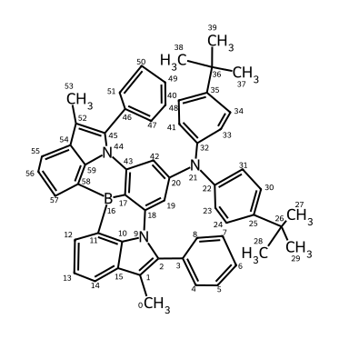 Cc1c(-c2ccccc2)n2c3c(cccc13)B1c3c-2cc(N(c2ccc(C(C)(C)C)cc2)c2ccc(C(C)(C)C)cc2)cc3-n2c(-c3ccccc3)c(C)c3cccc1c32